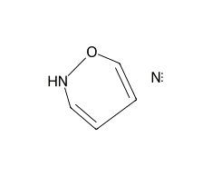 C1=CNOC=C1.[N]